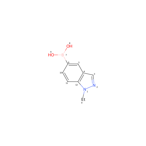 CCn1ncc2cc(B(O)O)ccc21